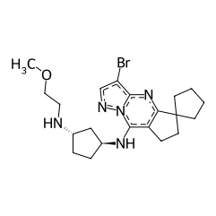 COCCN[C@H]1CC[C@H](Nc2c3c(nc4c(Br)cnn24)C2(CCCC2)CC3)C1